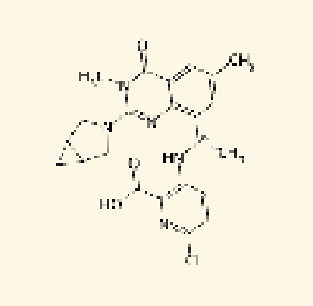 Cc1cc([C@H](C)Nc2ccc(Cl)nc2C(=O)O)c2nc(N3CC4CC4C3)n(C)c(=O)c2c1